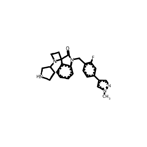 Cn1cc(-c2ccc(CN3C(=O)C4(CCN4C4CCNC4)c4ccccc43)c(F)c2)cn1